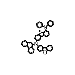 c1ccc(N(c2ccccc2)c2cccc3c2sc2ccc(N(c4ccc5oc6ccccc6c5c4)c4cc5ccccc5c5ccccc45)cc23)cc1